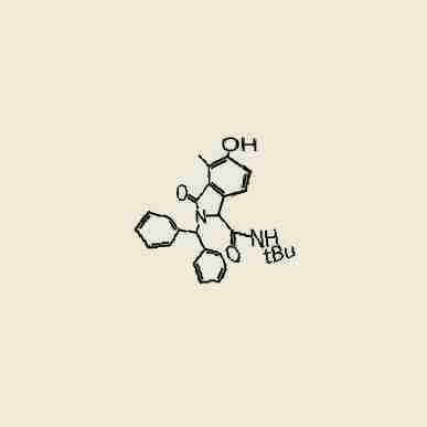 Cc1c(O)ccc2c1C(=O)N(C(c1ccccc1)c1ccccc1)C2C(=O)NC(C)(C)C